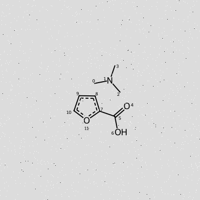 CN(C)C.O=C(O)c1ccco1